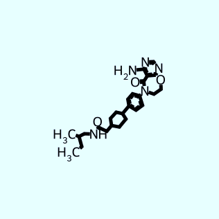 CCC(C)CNC(=O)CC1CCC(c2ccc(N3CCOc4ncnc(N)c4C3=O)cc2)CC1